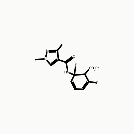 CCOC(=O)C1C(F)=CC=CC1(F)NC(=O)c1cn(C)nc1C